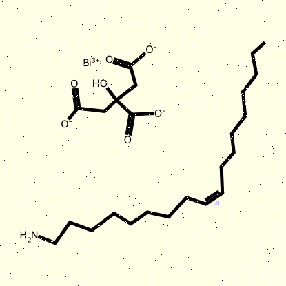 CCCCCCCC/C=C\CCCCCCCCN.O=C([O-])CC(O)(CC(=O)[O-])C(=O)[O-].[Bi+3]